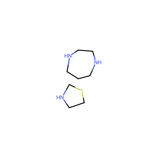 C1CNCCNC1.C1CSCN1